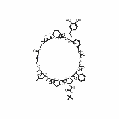 COc1ccc(CC[C@H]2OC(=O)[C@@H]3CCCCN3C(=O)C(=O)C(C)(C)COC(=O)/C=C/CCN(C)C(=O)[C@H](CC(C)C)N(C)C(=O)[C@H]3CCCN3C(=O)[C@H]3C[C@@H](NC(=O)OC(C)(C)C)CN3C(=O)C(c3ccccc3)NC(=O)CCC(=O)Nc3cccc2c3)cc1OC